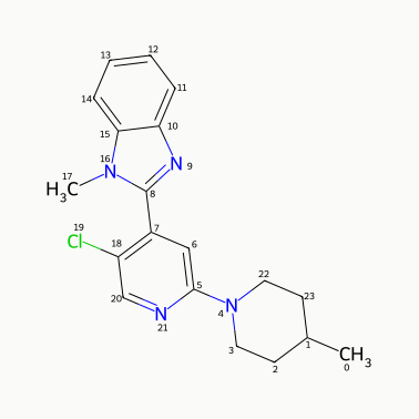 CC1CCN(c2cc(-c3nc4ccccc4n3C)c(Cl)cn2)CC1